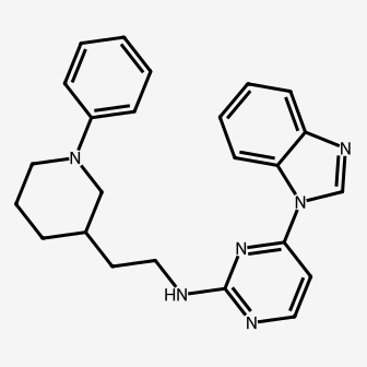 c1ccc(N2CCCC(CCNc3nccc(-n4cnc5ccccc54)n3)C2)cc1